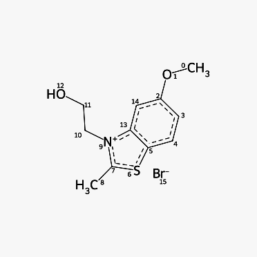 COc1ccc2sc(C)[n+](CCO)c2c1.[Br-]